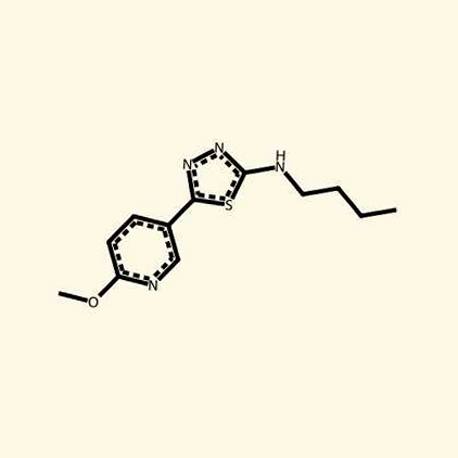 CCCCNc1nnc(-c2ccc(OC)nc2)s1